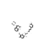 Cc1cc(N2CCOCC2)c2cccc(OCc3c(Cl)ccc(N(C)C(=O)CNC(=O)C=Cc4ccc(N)nc4)c3Cl)c2n1